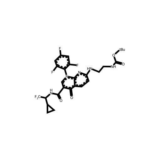 CC(C)(C)OC(=O)NCCNc1ccc2c(=O)c(C(=O)NC(C3CC3)C(F)(F)F)cn(-c3c(F)cc(F)cc3F)c2n1